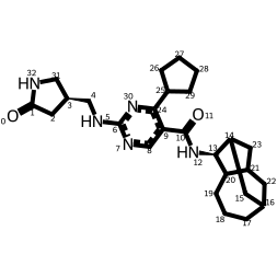 O=C1C[C@H](CNc2ncc(C(=O)N[C@H]3C4CC5CCCC3C(C5)C4)c(C3CCCC3)n2)CN1